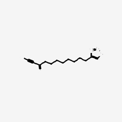 CC#CC(=O)CCCCCCCCc1c[nH]nn1